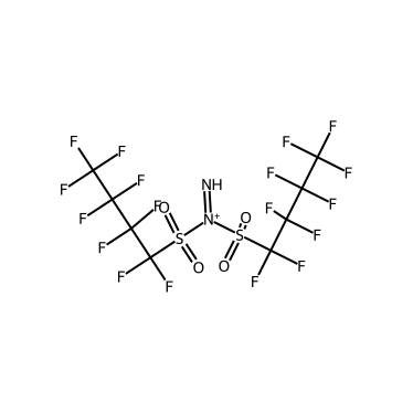 N=[N+](S(=O)(=O)C(F)(F)C(F)(F)C(F)(F)C(F)(F)F)S(=O)(=O)C(F)(F)C(F)(F)C(F)(F)C(F)(F)F